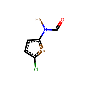 O=CN(S)c1ccc(Cl)s1